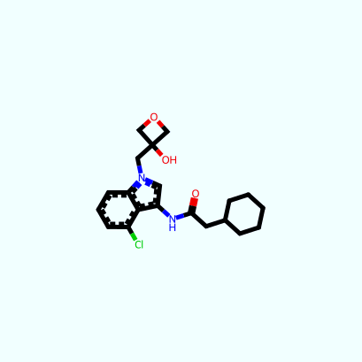 O=C(CC1CCCCC1)Nc1cn(CC2(O)COC2)c2cccc(Cl)c12